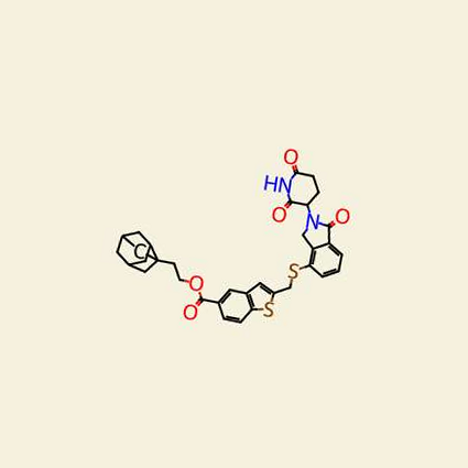 O=C1CCC(N2Cc3c(SCc4cc5cc(C(=O)OCCC67CC8CC(CC6C8)C7)ccc5s4)cccc3C2=O)C(=O)N1